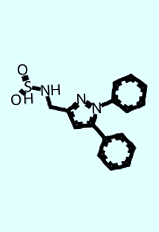 O=[SH](=O)NCc1cc(-c2ccccc2)n(-c2ccccc2)n1